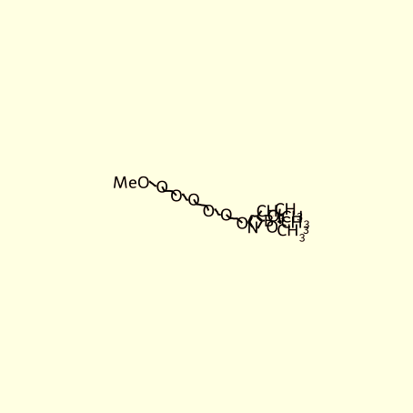 COCCOCCOCCOCCOCCOCCOc1cc(C)c(B2OC(C)(C)C(C)(C)O2)cn1